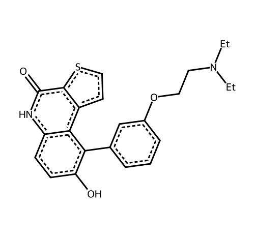 CCN(CC)CCOc1cccc(-c2c(O)ccc3[nH]c(=O)c4sccc4c23)c1